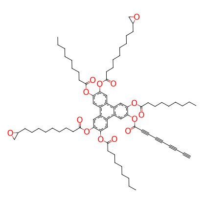 C#CC#CC#CC#CC(=O)Oc1cc2c(cc1OC(=O)CCCCCCCC)c1cc(OC(=O)CCCCCCCCC3CO3)c(OC(=O)CCCCCCCC)cc1c1cc(OC(=O)CCCCCCCCC3CO3)c(OC(=O)CCCCCCCC)cc21